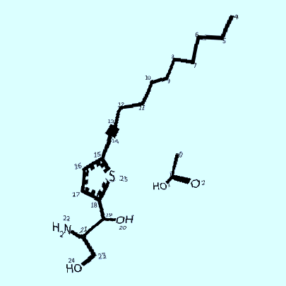 CC(=O)O.CCCCCCCCCC#Cc1ccc(C(O)C(N)CO)s1